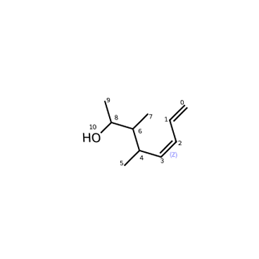 C=C/C=C\C(C)C(C)C(C)O